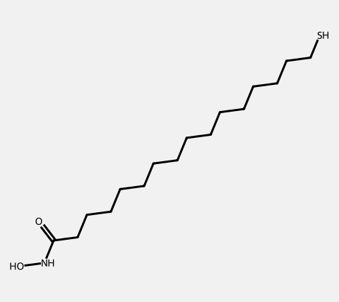 O=C(CCCCCCCCCCCCCCCS)NO